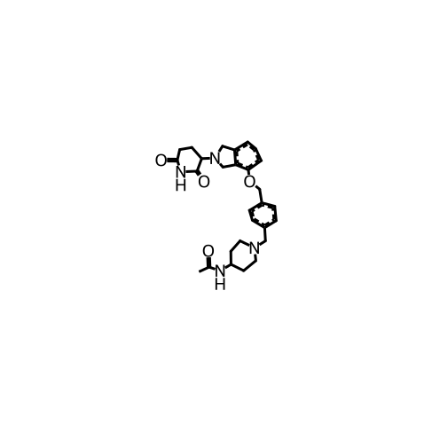 CC(=O)NC1CCN(Cc2ccc(COc3cccc4c3CN(C3CCC(=O)NC3=O)C4)cc2)CC1